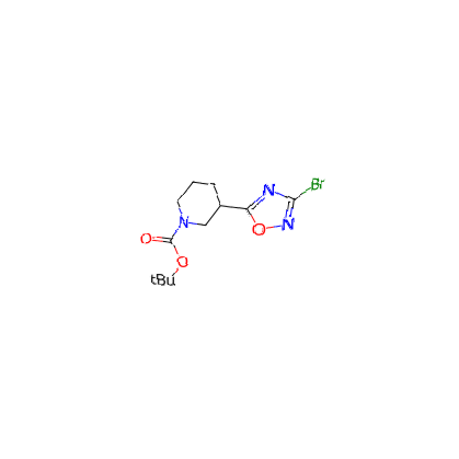 CC(C)(C)OC(=O)N1CCCC(c2nc(Br)no2)C1